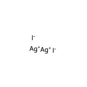 [Ag+].[Ag+].[I-].[I-]